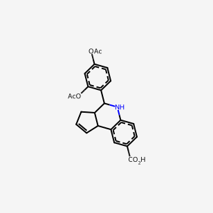 CC(=O)Oc1ccc(C2Nc3ccc(C(=O)O)cc3C3C=CCC32)c(OC(C)=O)c1